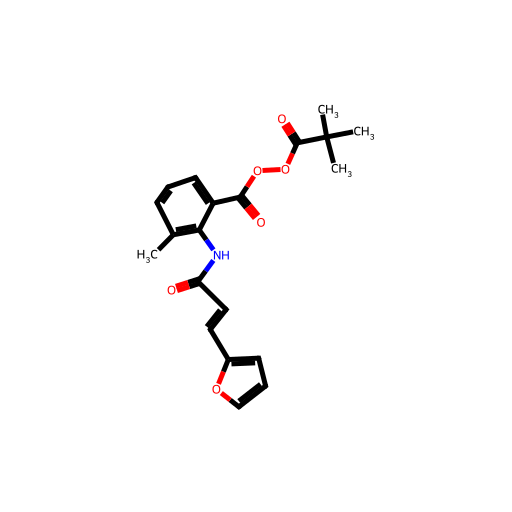 Cc1cccc(C(=O)OOC(=O)C(C)(C)C)c1NC(=O)C=Cc1ccco1